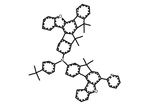 CC(C)(C)c1ccc(N(c2ccc3c(c2)C(C)(C)c2cc(-c4ccccn4)c4oc5ccccc5c4c2-3)c2ccc3c(c2)C(C)(C)c2c4c(c5oc6ccccc6c5c2-3)-c2ccccc2C4(C)C)cc1